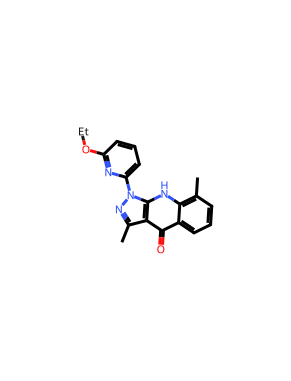 CCOc1cccc(-n2nc(C)c3c(=O)c4cccc(C)c4[nH]c32)n1